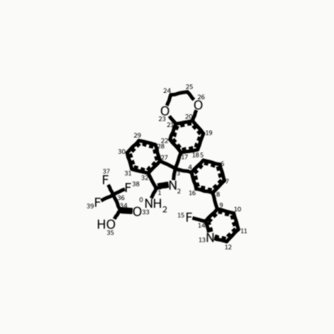 NC1=NC(c2cccc(-c3cccnc3F)c2)(c2ccc3c(c2)OCCO3)c2ccccc21.O=C(O)C(F)(F)F